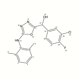 Cc1cccc(C)c1Nc1nnc(C(O)c2ccc(F)c(Cl)c2)o1